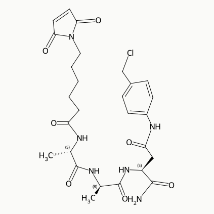 C[C@H](NC(=O)CCCCCN1C(=O)C=CC1=O)C(=O)N[C@H](C)C(=O)N[C@@H](CC(=O)Nc1ccc(CCl)cc1)C(N)=O